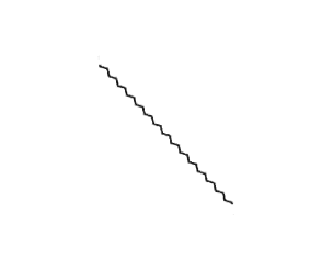 ICCCCCCCCCCCCCCCCCCCCCCCCCCCCCCI